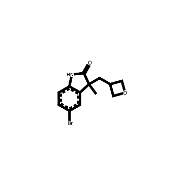 CC1(CC2COC2)C(=O)Nc2ccc(Br)cc21